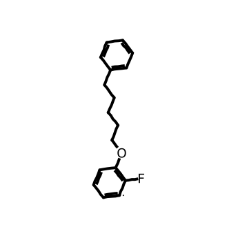 Fc1[c]cccc1OCCCCCc1ccccc1